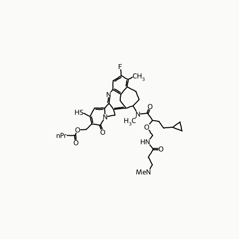 CCCC(=O)OCc1c(S)cc2n(c1=O)CC1=C3Cc4c(cc(F)c(C)c4CCC3N(C)C(=O)C(CCC3CC3)OCNC(=O)CCNC)N=C12